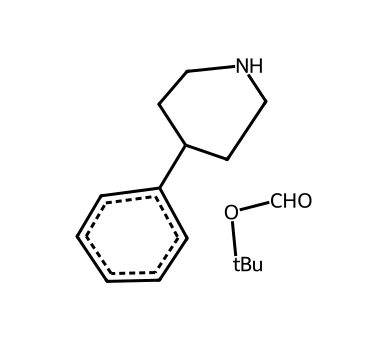 CC(C)(C)OC=O.c1ccc(C2CCNCC2)cc1